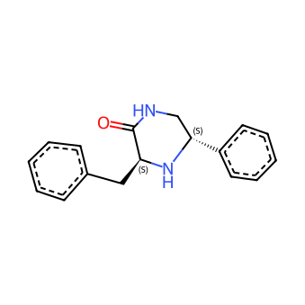 O=C1NC[C@H](c2ccccc2)N[C@H]1Cc1ccccc1